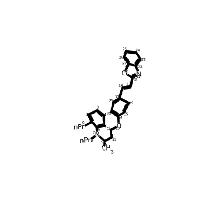 CCCc1ccccc1N(CCC)C(C)CCOc1ccc(/C=C/c2nc3ccccc3o2)cc1